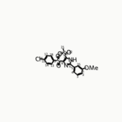 COc1cccc(-c2nc(S(=O)(=O)c3ccc(Cl)cc3)c(S(C)(=O)=O)[nH]2)c1